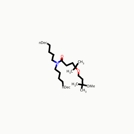 CCCCCCCCCCCCCCN(CCCCCCCCCCCCCC)C(=O)CCC(C)(C)OCCC(C)(C)OC